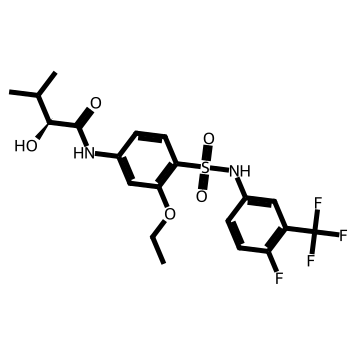 CCOc1cc(NC(=O)[C@@H](O)C(C)C)ccc1S(=O)(=O)Nc1ccc(F)c(C(F)(F)F)c1